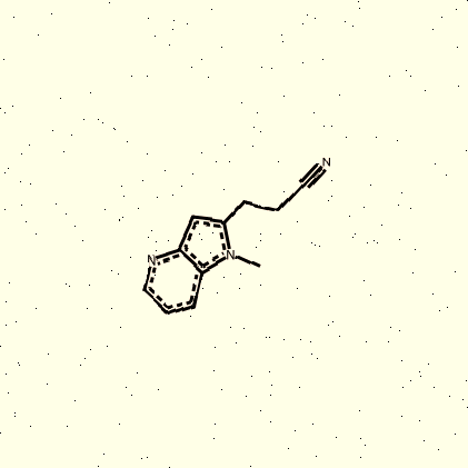 Cn1c(CCC#N)cc2ncccc21